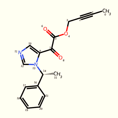 CC#CCOC(=O)C(=O)c1cncn1[C@H](C)c1ccccc1